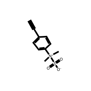 C#Cc1ccc([N+](C)(C)S(=O)(=O)[O-])cc1